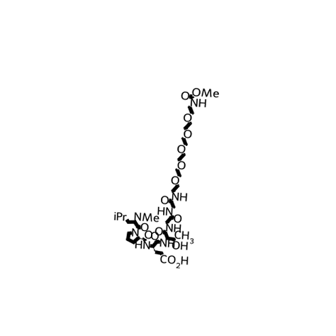 CN[C@@H](CC(C)C)C(=O)N1CCC[C@H]1C(=O)N[C@@H](CCC(=O)O)C(=O)N[C@H](C(=O)NCC(=O)NCC(=O)NCCOCCOCCOCCOCCOCCNC(=O)OC)[C@@H](C)O